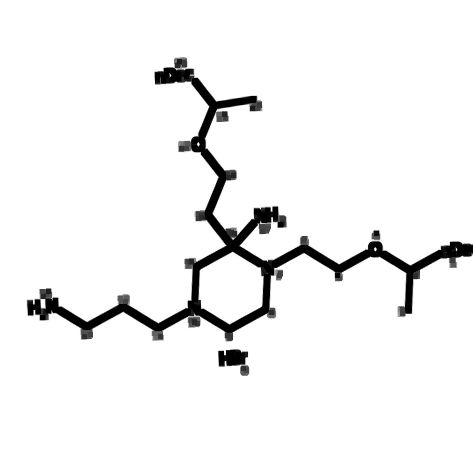 Br.CCCCCCCCCCC(C)OCCN1CCN(CCCN)CC1(N)CCOC(C)CCCCCCCCCC